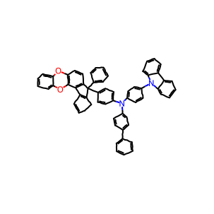 C1=CC2=C(CC1)C(c1ccccc1)(c1ccc(N(c3ccc(-c4ccccc4)cc3)c3ccc(-n4c5ccccc5c5ccccc54)cc3)cc1)c1ccc3c(c12)Oc1ccccc1O3